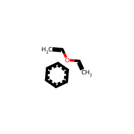 C=COC=C.c1ccccc1